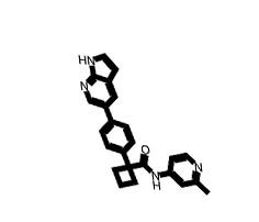 Cc1cc(NC(=O)C2(c3ccc(-c4cnc5[nH]ccc5c4)cc3)CCC2)ccn1